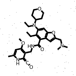 CCc1c(N(CC)C2CCOCC2)cc2oc(CN(C)C)cc2c1C(=O)NCC1=C(OC)C=C(C)NC1=C=O